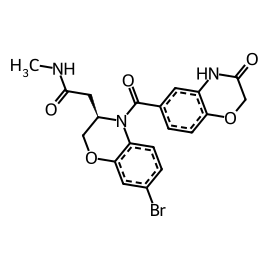 CNC(=O)C[C@@H]1COc2cc(Br)ccc2N1C(=O)c1ccc2c(c1)NC(=O)CO2